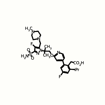 CC(C)c1cc(F)cc(-c2ccnc(OCC(C)(C)n3nc(S(N)(=O)=O)c(F)c3CN3CCN(C)CC3)c2)c1CC(=O)O